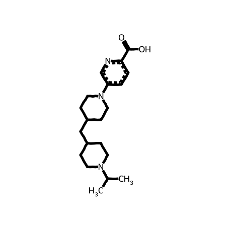 CC(C)N1CCC(CC2CCN(c3ccc(C(=O)O)nc3)CC2)CC1